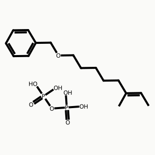 C/C=C(\C)CCCCCOCc1ccccc1.O=P(O)(O)OP(=O)(O)O